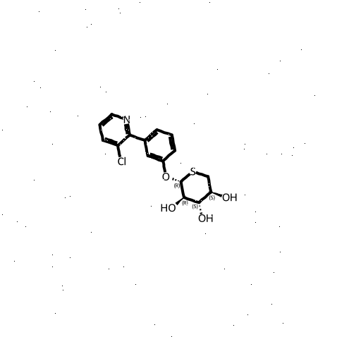 O[C@@H]1[C@@H](O)[C@H](Oc2cccc(-c3ncccc3Cl)c2)SC[C@H]1O